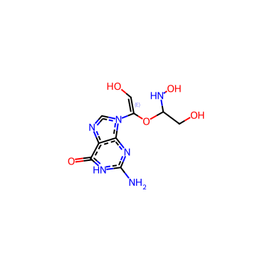 Nc1nc2c(ncn2/C(=C\O)OC(CO)NO)c(=O)[nH]1